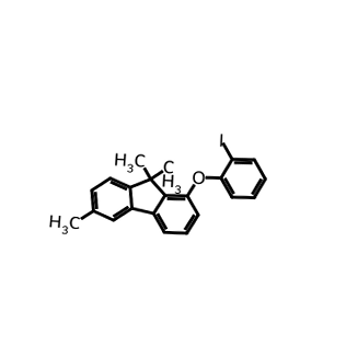 Cc1ccc2c(c1)-c1cccc(Oc3ccccc3I)c1C2(C)C